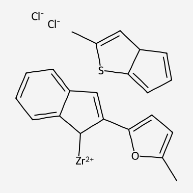 CC1=CC2C=CC=C2S1.Cc1ccc(C2=Cc3ccccc3[CH]2[Zr+2])o1.[Cl-].[Cl-]